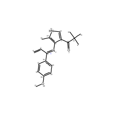 C=C/C(=N\c1c(C(=O)C(C)(C)C)c[nH]c1C)c1ccc(OC)cc1